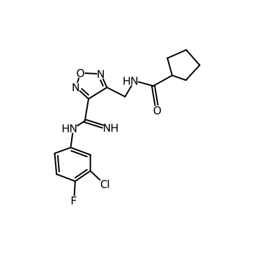 N=C(Nc1ccc(F)c(Cl)c1)c1nonc1CNC(=O)C1CCCC1